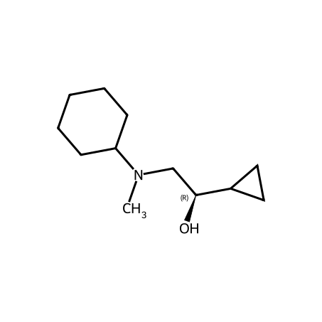 CN(C[C@H](O)C1CC1)C1CCCCC1